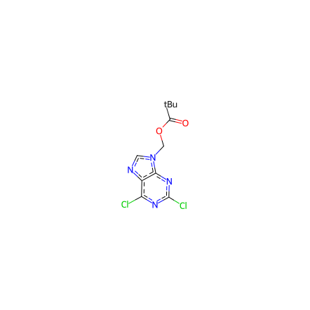 CC(C)(C)C(=O)OCn1cnc2c(Cl)nc(Cl)nc21